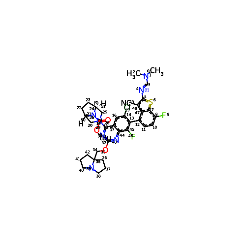 CN(C)/C=N/c1sc2c(F)ccc(-c3c(Cl)cc4c(N5C[C@@H]6CC[C@@H](C5)N6C(=O)OC(C)(C)C)nc(OCC56CCCN5CCC6)nc4c3F)c2c1C#N